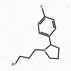 CC(C)CCCN1CCCC1c1ccc(F)cc1